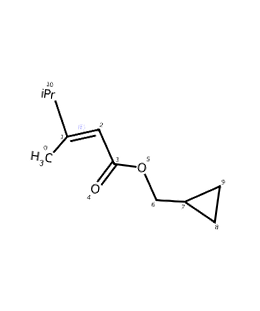 C/C(=C\C(=O)OCC1CC1)C(C)C